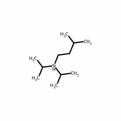 CC(C)CC[SiH](C(C)C)C(C)C